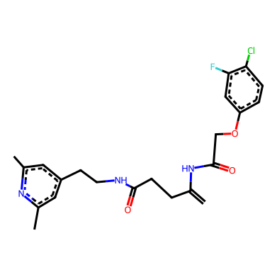 C=C(CCC(=O)NCCc1cc(C)nc(C)c1)NC(=O)COc1ccc(Cl)c(F)c1